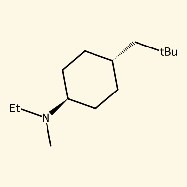 CCN(C)[C@H]1CC[C@H](CC(C)(C)C)CC1